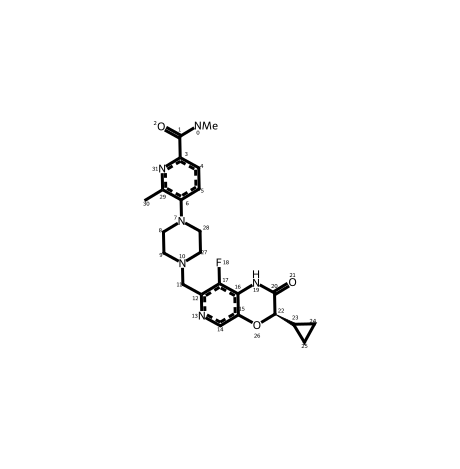 CNC(=O)c1ccc(N2CCN(Cc3ncc4c(c3F)NC(=O)[C@@H](C3CC3)O4)CC2)c(C)n1